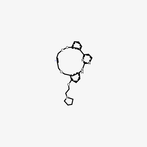 C1=C/COCc2cc(ccc2OCCN2CCCC2)Nc2nccc(n2)-c2cccc(c2)OCC/1